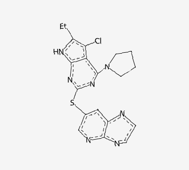 CCc1[nH]c2nc(Sc3cnc4nccnc4c3)nc(N3CCCC3)c2c1Cl